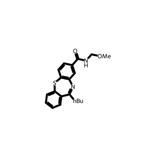 CCCCC1=Nc2cc(C(=O)NCOC)ccc2Sc2ccccc21